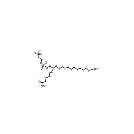 CCCCCCCCCCCCCCCCCCCCOC[C@H](COP(=O)([O-])OCC[N+](C)(C)C)OCCCCC(=O)OC